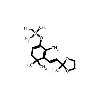 CC1=C(/C=C/C2(C)OCCO2)C(C)(C)CC=C1O[Si](C)(C)C